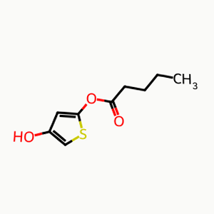 CCCCC(=O)Oc1cc(O)cs1